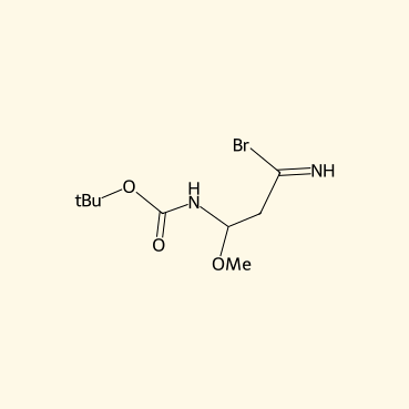 COC(CC(=N)Br)NC(=O)OC(C)(C)C